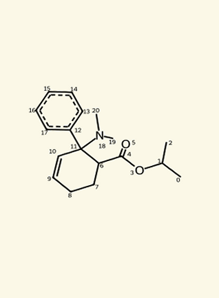 CC(C)OC(=O)C1CCC=CC1(c1ccccc1)N(C)C